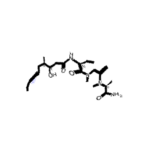 C=C(CN(C)C(=O)[C@H](CC)NC(=O)C[C@@H](O)[C@H](C)C/C=C/C)N(C)[C@@H](C)C(N)=O